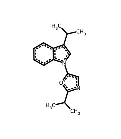 CC(C)c1ncc(-n2cc(C(C)C)c3ccccc32)o1